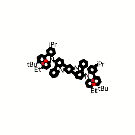 CCc1ccc(N(c2ccc(C(C)C)cc2-c2ccc(C(C)(C)C)cc2)c2ccc3c4cc5c(cc4n4c6ccccc6c2c34)c2ccc(N(c3ccc(CC)cc3)c3ccc(C(C)C)cc3-c3ccc(C(C)(C)C)cc3)c3c4ccccc4n5c23)cc1